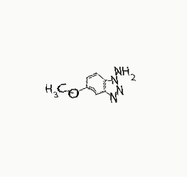 COc1ccc2c(c1)nnn2N